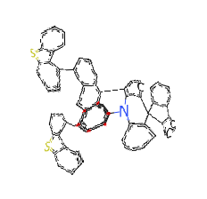 c1ccc(N2c3ccccc3C3(c4ccccc4-c4ccccc43)c3cccc(-c4c5cccc(-c6cccc7sc8ccccc8c67)c5cc5c(-c6cccc7sc8ccccc8c67)cccc45)c32)cc1